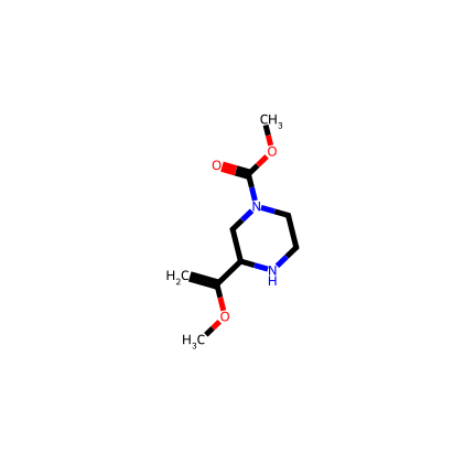 C=C(OC)C1CN(C(=O)OC)CCN1